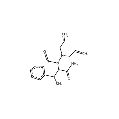 C=CCN(CC=C)N(N=O)C(C(N)=O)C(C)c1ccccc1